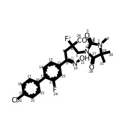 CN1C(=O)N(CC(F)(C/C(=N\O)c2ccc(-c3ccc(Cl)cc3)c(F)c2)C(=O)O)C(=O)C1(C)C